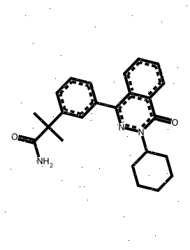 CC(C)(C(N)=O)c1cccc(-c2nn(C3CCCCC3)c(=O)c3ccccc23)c1